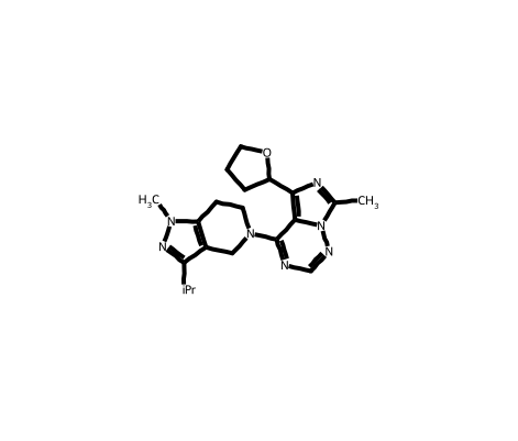 Cc1nc(C2CCCO2)c2c(N3CCc4c(c(C(C)C)nn4C)C3)ncnn12